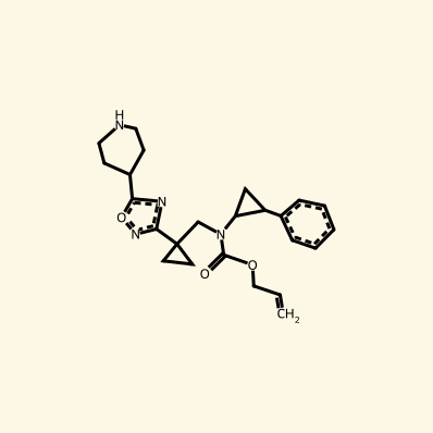 C=CCOC(=O)N(CC1(c2noc(C3CCNCC3)n2)CC1)C1CC1c1ccccc1